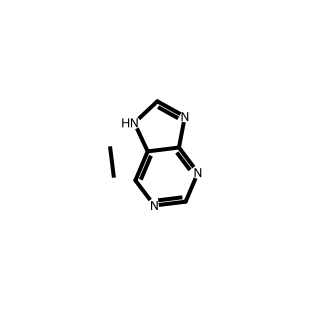 CC.c1ncc2[nH]cnc2n1